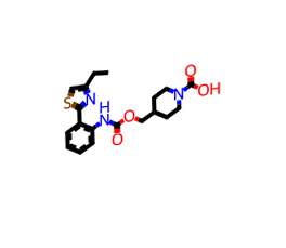 CCc1csc(-c2ccccc2NC(=O)OCC2CCN(C(=O)O)CC2)n1